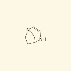 C1=CN2CCC(CC2)N1